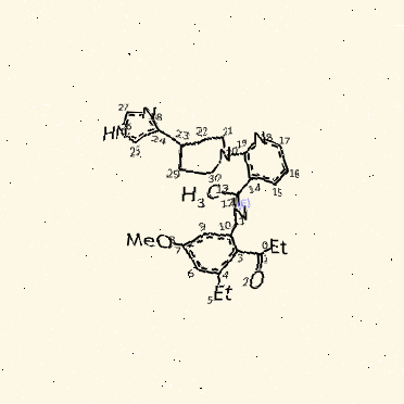 CCC(=O)c1c(CC)cc(OC)cc1/N=C(\C)c1cccnc1N1CCC(c2c[nH]cn2)CC1